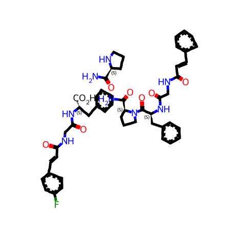 NC(=O)[C@@H]1CCCN1.NC(=O)[C@@H]1CCCN1C(=O)[C@H](Cc1ccccc1)NC(=O)CNC(=O)C=Cc1ccccc1.O=C(C=Cc1ccc(F)cc1)NCC(=O)N[C@@H](Cc1ccccc1)C(=O)O